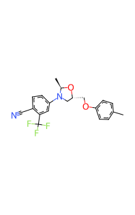 Cc1ccc(OC[C@@H]2CN(c3ccc(C#N)c(C(F)(F)F)c3)[C@@H](C)O2)cc1